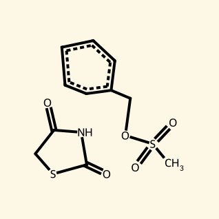 CS(=O)(=O)OCc1ccccc1.O=C1CSC(=O)N1